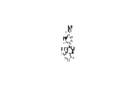 CCOCc1ccc(C(=O)Nc2ccccc2F)cn1